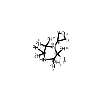 [2H]C1([2H])NC([2H])([2H])C([2H])([2H])N(C2COC2)C1([2H])[2H]